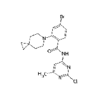 Cc1cc(NC(=O)c2ccc(Br)cc2N2CCC3(CC2)CC3)nc(Cl)n1